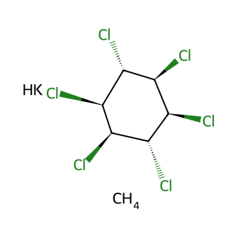 C.Cl[C@H]1[C@H](Cl)[C@@H](Cl)[C@@H](Cl)[C@H](Cl)[C@H]1Cl.[KH]